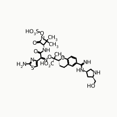 CC1(C)[C@H](NC(=O)/C(=N\O[C@](C)(C(=O)O)[C@H]2CCc3cc(C(=N)N[C@H]4CN[C@@H](CO)C4)ccc3O2)c2csc(N)n2)C(=O)N1OS(=O)(=O)O